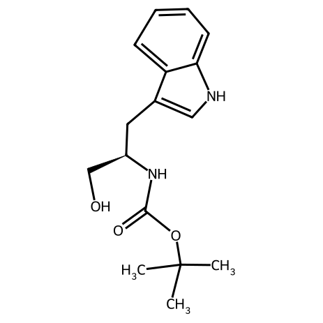 CC(C)(C)OC(=O)N[C@@H](CO)Cc1c[nH]c2ccccc12